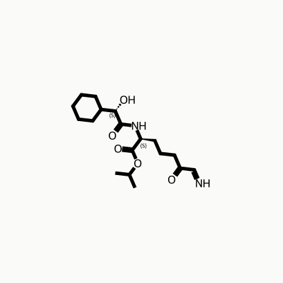 CC(C)OC(=O)[C@H](CCCC(=O)C=N)NC(=O)[C@@H](O)C1CCCCC1